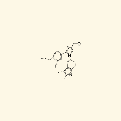 CCCc1ccc(-c2nc(C=O)cn2C2=Cc3c(nn(C)c3CC)CC2)cc1F